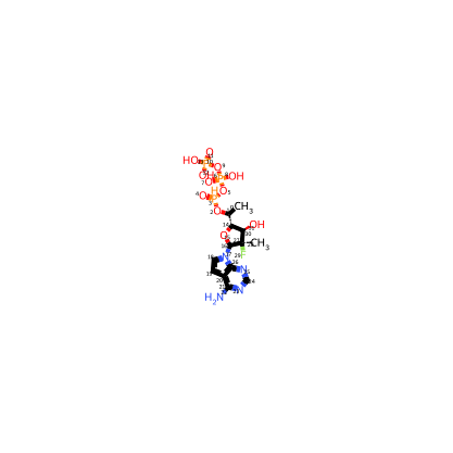 CC(O[PH](=O)OP(=O)(O)OP(=O)(O)O)[C@H]1OC(n2ccc3c(N)ncnc32)[C@](C)(F)[C@@H]1O